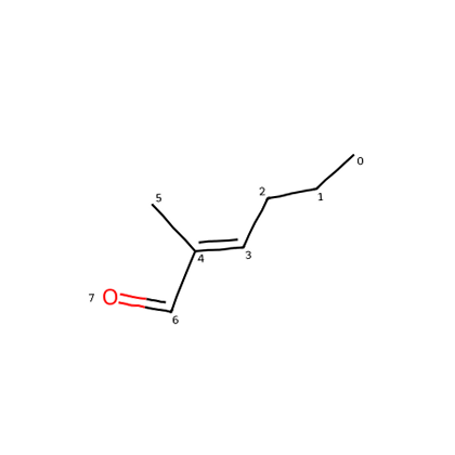 CCC/C=C(\C)C=O